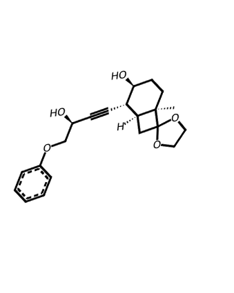 C[C@@]12CC[C@H](O)[C@@H](C#C[C@H](O)COc3ccccc3)[C@@H]1CC21OCCO1